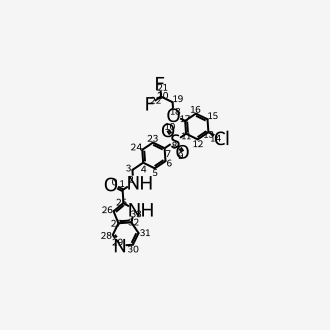 O=C(NCc1ccc(S(=O)(=O)c2cc(Cl)ccc2OCC(F)F)cc1)c1cc2cnccc2[nH]1